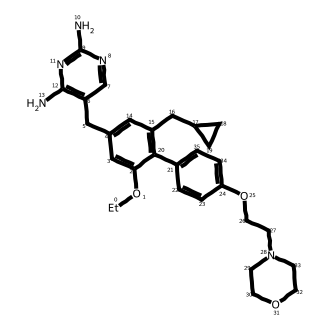 CCOc1cc(Cc2cnc(N)nc2N)cc(CC2CC2)c1-c1ccc(OCCN2CCOCC2)cc1